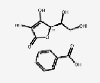 O=C(O)c1ccccc1.O=C1O[C@H](C(O)CO)C(O)=C1O